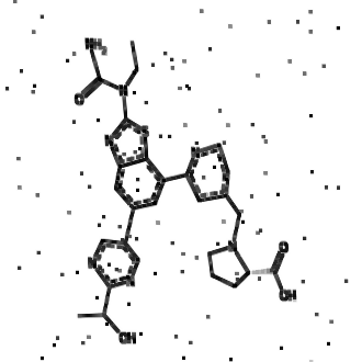 CCN(C(N)=O)c1nc2cc(-c3cnc(C(C)O)nc3)cc(-c3cc(CN4CCC[C@H]4C(=O)O)ccn3)c2s1